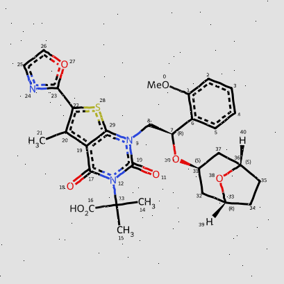 COc1ccccc1[C@H](Cn1c(=O)n(C(C)(C)C(=O)O)c(=O)c2c(C)c(-c3ncco3)sc21)O[C@@H]1C[C@H]2CC[C@@H](C1)O2